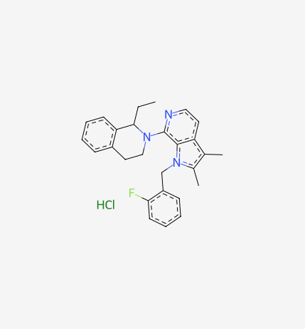 CCC1c2ccccc2CCN1c1nccc2c(C)c(C)n(Cc3ccccc3F)c12.Cl